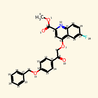 COC(=O)c1cc(OCC(=O)c2ccc(OCc3ccccc3)cc2)c2cc(F)ccc2n1